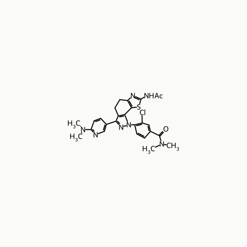 CC(=O)Nc1nc2c(s1)-c1c(c(-c3ccc(N(C)C)nc3)nn1-c1ccc(C(=O)N(C)C)cc1Cl)CC2